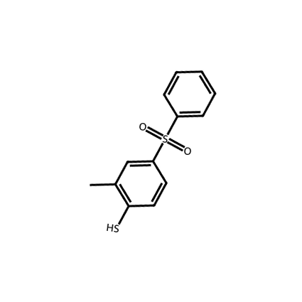 Cc1cc(S(=O)(=O)c2ccccc2)ccc1S